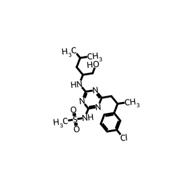 CC(C)CC(CO)Nc1nc(CC(C)c2cccc(Cl)c2)nc(NS(C)(=O)=O)n1